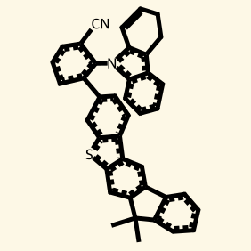 CC1(C)c2ccccc2-c2cc3c(cc21)sc1cc(-c2cccc(C#N)c2-n2c4c(c5ccccc52)CCC=C4)ccc13